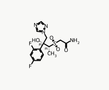 C[C@H]([C@](O)(Cn1cncn1)c1ccc(F)cc1F)S(=O)(=O)CC(N)=O